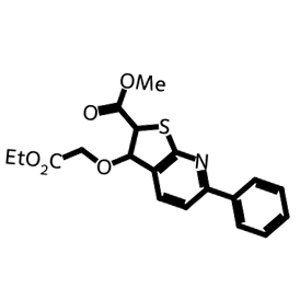 CCOC(=O)COC1c2ccc(-c3ccccc3)nc2SC1C(=O)OC